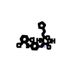 O=C(CCC1CCCC1)N/C(=C\c1ccc(Sc2c(Cl)cccc2Cl)cc1)C(=O)O